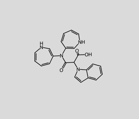 O=C(O)C(C(=O)N(C1=CNC=CC=C1)C1=CNC=CC=C1)n1ccc2ccccc21